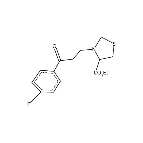 CCOC(=O)C1CSCN1CCC(=O)c1ccc(F)cc1